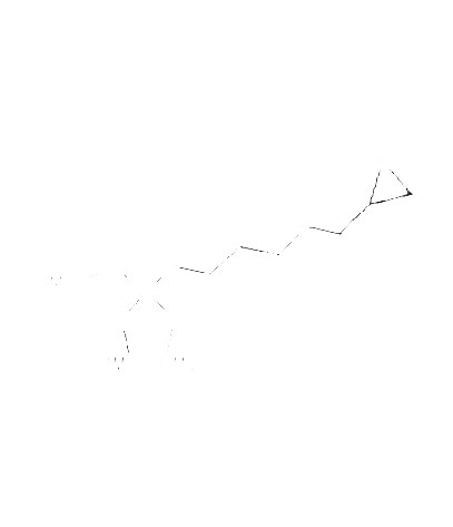 COO[Si](OCCCOCC1CO1)(OOC)OOC